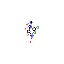 COc1cc2c(cc1-c1cnn(CCCO)c1)-c1c(c(C(=O)N(C)C(C)(C)C)nn1-c1cc(Cl)cc(Cl)c1)CO2